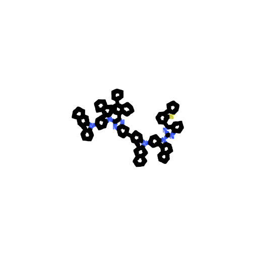 c1ccc(-c2ccc(-c3nc4cc(-c5ccc6c(c5)c5cc7ccccc7cc5n6-c5ccc6c(c5)c5c7ccccc7ccc5n6-c5nc(-c6cccc7c6sc6ccccc67)c6ccccc6n5)ccc4nc3-n3c4ccc(-n5c6ccccc6c6cc7ccccc7cc65)cc4c4c5ccccc5ccc43)c3ccccc23)cc1